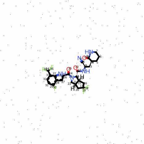 N#C[C@@H](C[C@@H]1CCCNC1=O)NC(=O)[C@@H]1[C@@H]2CC(F)(F)C[C@@H]2CN1C(=O)c1cc2c(F)ccc(C(F)F)c2[nH]1